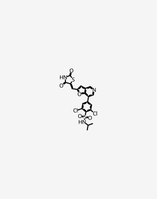 CC(C)NS(=O)(=O)c1c(Cl)cc(-c2cncc3cc(/C=C4\SC(=O)NC4=O)oc23)cc1Cl